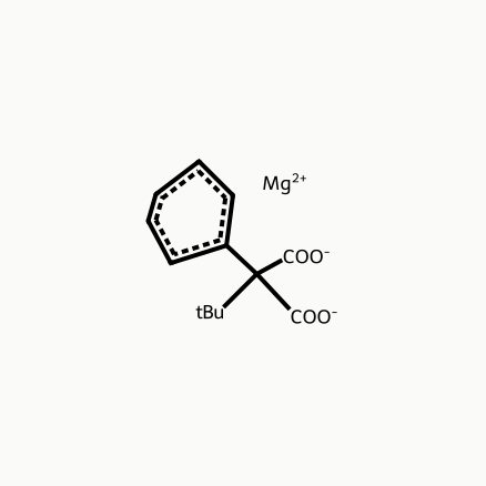 CC(C)(C)C(C(=O)[O-])(C(=O)[O-])c1ccccc1.[Mg+2]